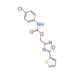 O=C(Nc1ccc(Cl)cc1)OCc1noc(-c2cccs2)n1